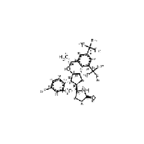 C[C@@H](O[C@H]1CC[C@@H]([C@]2(C)CCC(=O)N2)[C@@H]1c1ccc(F)cc1)c1cc(C(F)(F)F)cc(C(F)(F)F)c1